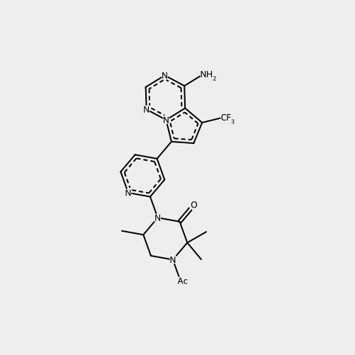 CC(=O)N1CC(C)N(c2cc(-c3cc(C(F)(F)F)c4c(N)ncnn34)ccn2)C(=O)C1(C)C